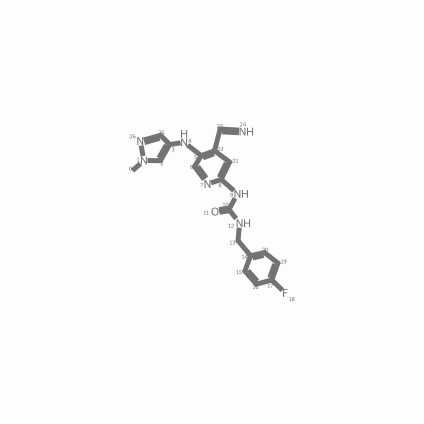 Cn1cc(Nc2cnc(NC(=O)NCc3ccc(F)cc3)cc2C=N)cn1